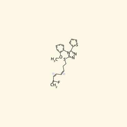 C=C(F)/C=C\C=C/CCSc1nnc(-c2cccs2)n1-c1ccccc1OC